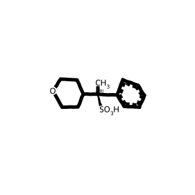 C[C@](c1ccccc1)(C1CCOCC1)S(=O)(=O)O